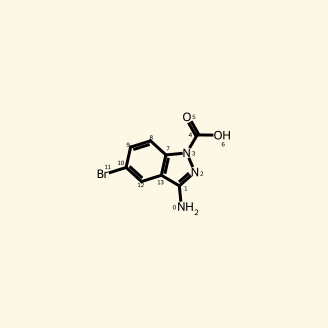 Nc1nn(C(=O)O)c2ccc(Br)cc12